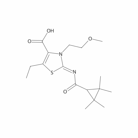 CCc1sc(=NC(=O)C2C(C)(C)C2(C)C)n(CCOC)c1C(=O)O